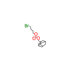 O=C(OCCCCBr)OCC12CC3CC(CC(C3)C1)C2